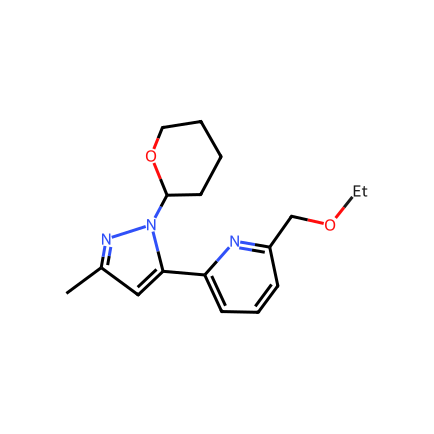 CCOCc1cccc(-c2cc(C)nn2C2CCCCO2)n1